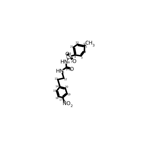 Cc1ccc(S(=O)(=O)NC(=O)NCCc2ccc([N+](=O)[O-])cc2)cc1